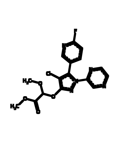 COC(=O)C(OC)Oc1nn(-c2cnccn2)c(-c2ccc(F)nc2)c1Cl